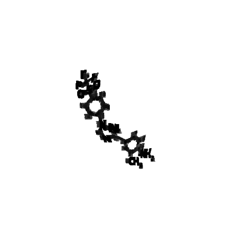 Cc1cc(-c2ncn(-c3ccc(S(=O)(=O)C(F)(F)F)cc3)n2)ccc1N